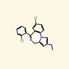 CCc1cc2n(c1)-c1ccc(Cl)cc1C(c1ccccc1Cl)=NC2